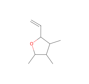 C=CC1OC(C)C(C)C1C